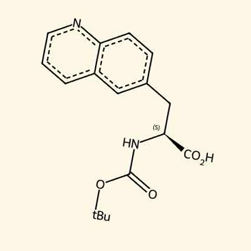 CC(C)(C)OC(=O)N[C@@H](Cc1ccc2ncccc2c1)C(=O)O